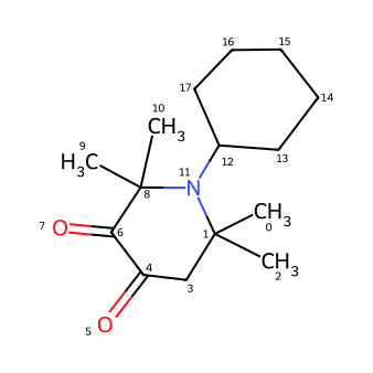 CC1(C)CC(=O)C(=O)C(C)(C)N1C1CCCCC1